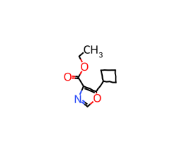 CCOC(=O)c1ncoc1C1CCC1